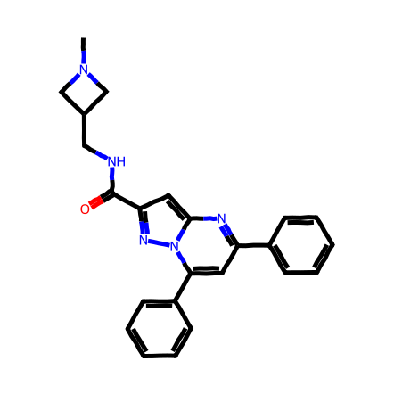 CN1CC(CNC(=O)c2cc3nc(-c4ccccc4)cc(-c4ccccc4)n3n2)C1